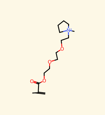 C=C(C)C(=O)OCCOCCOCC[N+]1(C)CCCC1